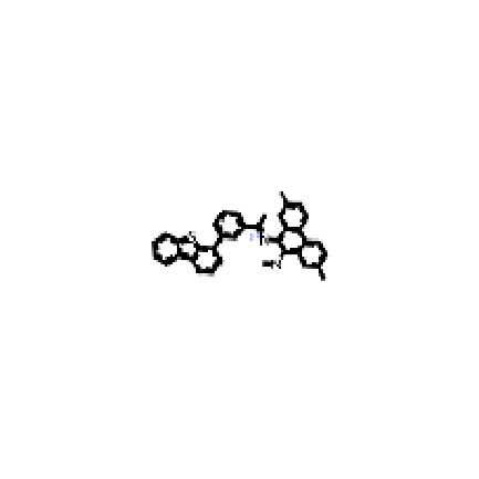 C=Nc1c(/N=C(\C)c2cccc(-c3cccc4c3sc3ccccc34)c2)c2cc(C)ccc2c2ccc(C)cc12